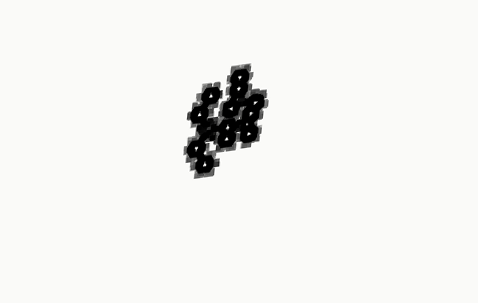 c1ccc(-c2cccc(-c3nc(-c4cccc(-c5ccccc5)c4)nc(-c4ccc(-n5c6ccccc6c6cc7cccc(-n8c9ccccc9c9cc%10ccccc%10cc98)c7cc65)c5ccccc45)n3)c2)cc1